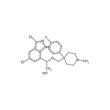 CC(OCC1(c2ccc(F)cc2)CCN(C)CC1)c1cc(Cl)cc2c(Cl)n[nH]c12.Cl